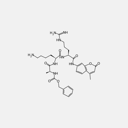 Cc1cc(=O)oc2cc(NC(=O)[C@H](CCCNC(=N)N)NC(=O)[C@H](CCCCN)NC(=O)[C@H](C)NC(=O)OCc3ccccc3)ccc12